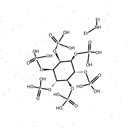 CCNCC.O=P(O)(O)O[C@H]1[C@H](OP(=O)(O)O)[C@@H](OP(=O)(O)O)[C@H](OP(=O)(O)O)[C@@H](OP(=O)(O)O)[C@H]1OP(=O)(O)O